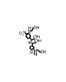 O=[N+]([O-])c1ccc(C(CO)[S+]([O-])C(CO)c2ccc([N+](=O)[O-])c(NCCO)c2)cc1NCCO